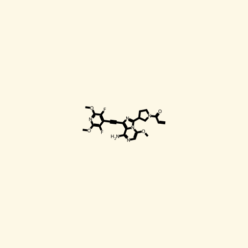 C=CC(=O)N1CCC(c2nc(C#Cc3c(F)c(OC)nc(OC)c3F)c3c(N)ncc(OC)n23)C1